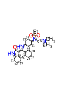 CCS(=O)(=O)N(CCN(C)C)c1ccc(N/C(=C2\C(=O)Nc3ccccc32)c2ccccc2)cc1